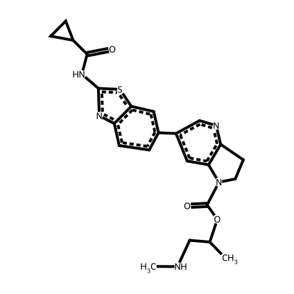 CNCC(C)OC(=O)N1CCc2ncc(-c3ccc4nc(NC(=O)C5CC5)sc4c3)cc21